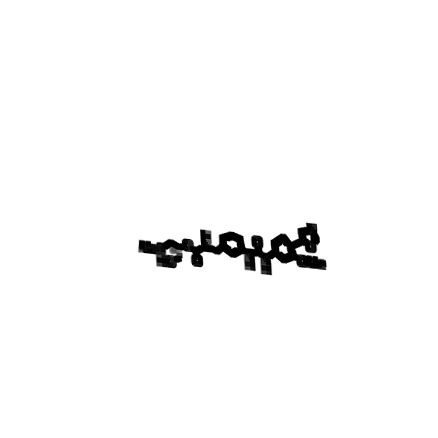 COc1cc(NC(=O)Nc2cccc(CNC(=O)O[C@H](CO)CSC)c2)ccc1-c1cnco1